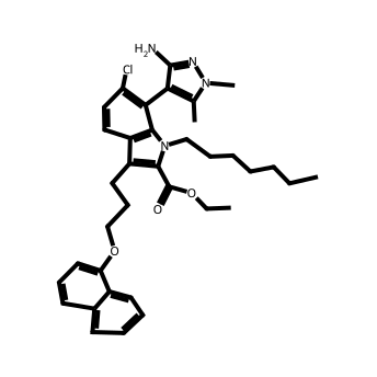 CCCCCCCn1c(C(=O)OCC)c(CCCOc2cccc3ccccc23)c2ccc(Cl)c(-c3c(N)nn(C)c3C)c21